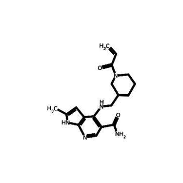 C=CC(=O)N1CCCC(CNc2c(C(N)=O)cnc3[nH]c(C)cc23)C1